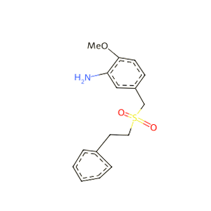 COc1ccc(CS(=O)(=O)CCc2ccccc2)cc1N